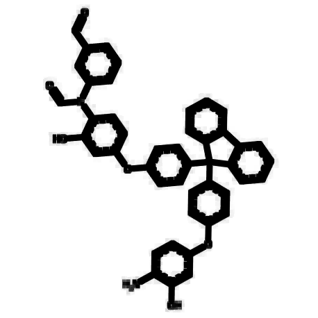 Nc1ccc(Oc2ccc(C3(c4ccc(Oc5ccc(N(C=O)c6cccc(C=O)c6)c(O)c5)cc4)c4ccccc4-c4ccccc43)cc2)cc1O